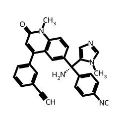 [C-]#[N+]c1ccc([C@@](N)(c2ccc3c(c2)c(-c2cccc(C#C)c2)cc(=O)n3C)c2cncn2C)cc1